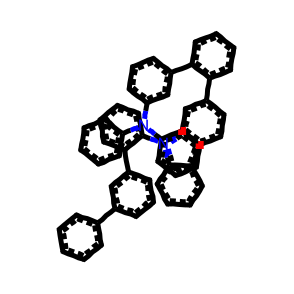 c1ccc(-c2cccc(-c3ccccc3-n3c4ccccc4c4ccc(-c5ccccc5-c5cccc(N(c6ccccc6)c6ccccc6)c5)cc43)c2)cc1